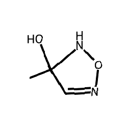 CC1(O)C=NON1